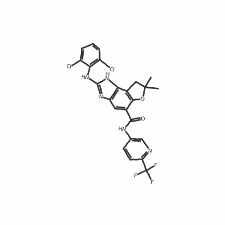 CC1(C)Cc2c(c(C(=O)Nc3ccc(C(F)(F)F)nc3)cc3nc(Nc4c(Cl)cccc4Cl)[nH]c23)O1